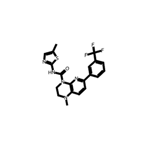 Cc1cnc(NC(=O)N2CCN(C)c3ccc(-c4cccc(C(F)(F)F)c4)nc32)s1